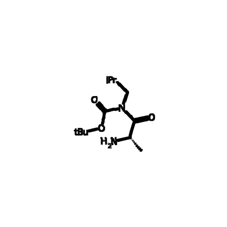 CC(C)CN(C(=O)OC(C)(C)C)C(=O)[C@H](C)N